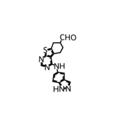 O=CC1CCc2c(sc3ncnc(Nc4ccc5[nH]ncc5c4)c23)C1